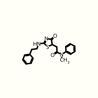 CN(C(=O)CC1SC(NCCc2ccccc2)=NC1=O)c1ccccc1